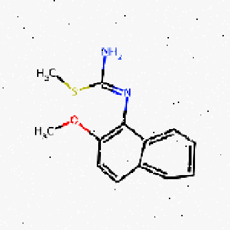 COc1ccc2ccccc2c1/N=C(/N)SC